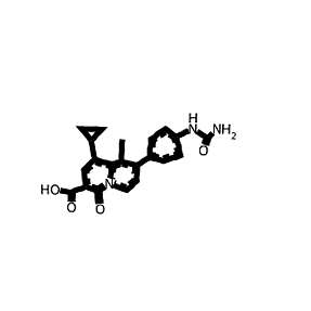 Cc1c(-c2ccc(NC(N)=O)cc2)ccn2c(=O)c(C(=O)O)cc(C3CC3)c12